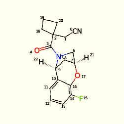 N#CCC1(C(=O)N2C[C@@H]3C[C@H]2c2cccc(F)c2O3)CCC1